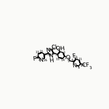 Oc1cc(OCc2ncc(C(F)(F)F)cc2F)ccc1-c1[nH]c(-c2ccc(F)nc2)nc1Cl